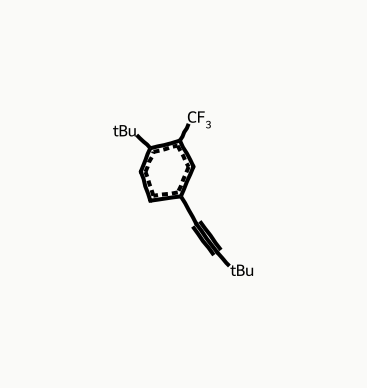 CC(C)(C)C#Cc1ccc(C(C)(C)C)c(C(F)(F)F)c1